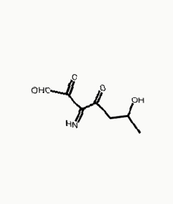 CC(O)CC(=O)C(=N)C(=O)C=O